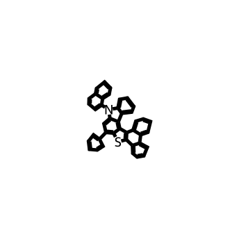 c1ccc(-c2cc3c(c4ccccc4n3-c3cccc4ccccc34)c3c2sc2c4ccccc4c4ccccc4c23)cc1